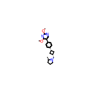 COc1ncc(-c2ccc([C@H]3C[C@@H](CN4CCC[C@H]4C)C3)cc2)c(OC)n1